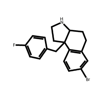 Fc1ccc(CC23CCNC2CCc2cc(Br)ccc23)cc1